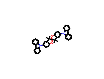 CC1(C)c2cc(-n3c4ccccc4c4ccccc43)ccc2OC12Oc1ccc(-n3c4ccccc4c4ccccc43)cc1C2(C)C